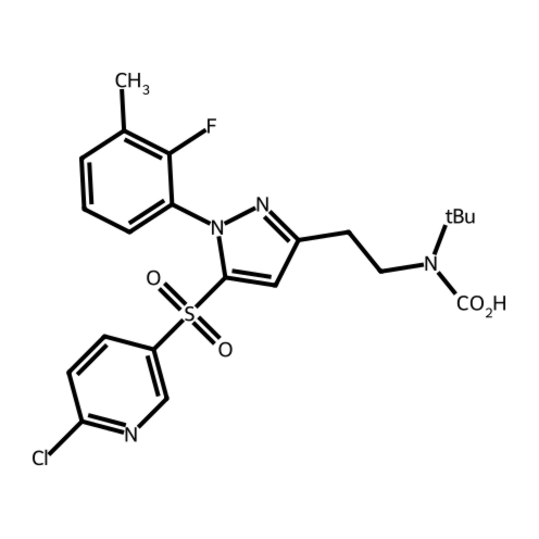 Cc1cccc(-n2nc(CCN(C(=O)O)C(C)(C)C)cc2S(=O)(=O)c2ccc(Cl)nc2)c1F